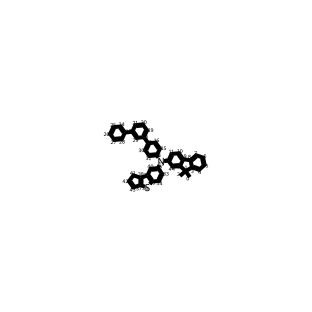 CC1(C)c2ccccc2-c2ccc(N(c3ccc(-c4cccc(-c5ccccc5)c4)cc3)c3ccc4sc5c(c4c3)CC=C5)cc21